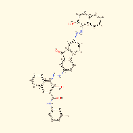 Cc1cccc(NC(=O)c2cc3ccccc3c(N=Nc3ccc4c(c3)C(=O)c3cc(N=Nc5c(O)ccc6ccccc56)ccc3-4)c2O)c1